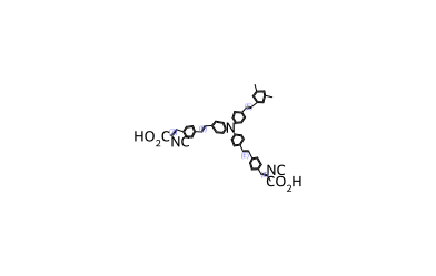 [C-]#[N+]/C(=C\c1ccc(/C=C/c2ccc(N(c3ccc(/C=C/c4ccc(/C=C(\[N+]#[C-])C(=O)O)cc4)cc3)c3ccc(/C=C/c4cc(C)cc(C)c4)cc3)cc2)cc1)C(=O)O